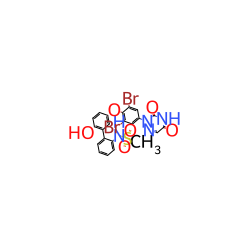 CS(=O)(=O)Nc1ccccc1-c1cc(Oc2c(Br)cc(-n3ncc(=O)[nH]c3=O)cc2Br)ccc1O